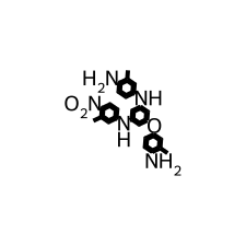 Cc1cc(Nc2cc(Nc3ccc([N+](=O)[O-])c(C)c3)cc(Oc3ccc(N)c(C)c3)c2)ccc1N